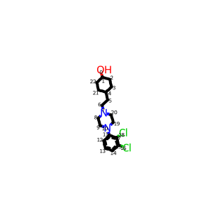 OC1CCC(CCN2CCN(c3cccc(Cl)c3Cl)CC2)CC1